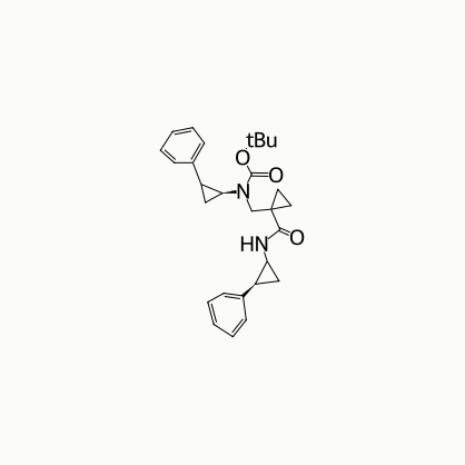 CC(C)(C)OC(=O)N(CC1(C(=O)NC2C[C@H]2c2ccccc2)CC1)[C@H]1CC1c1ccccc1